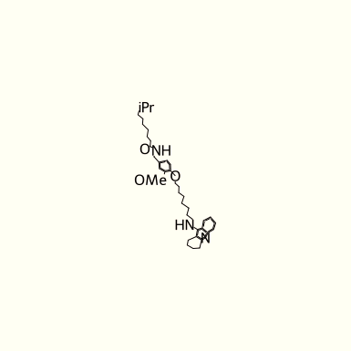 COc1cc(CNC(=O)CCCCCCC(C)C)ccc1OCCCCCCCCNc1c2c(nc3ccccc13)CCCC2